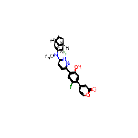 CN(c1ccc(-c2cc(F)c(-c3ccoc(=O)c3)cc2O)nn1)[C@@H]1C[C@H]2CC[C@H](C2)[C@@H]1F